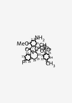 COc1cc(N)ccc1C(=O)N1c2ccc(F)cc2CCCC1OC(C)OS(=O)(=O)c1ccc(C)cc1